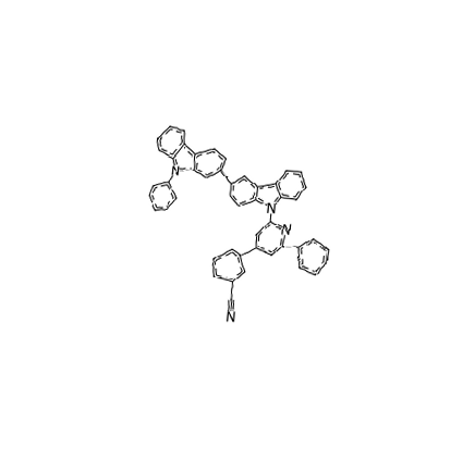 N#Cc1cccc(-c2cc(-c3ccccc3)nc(-n3c4ccccc4c4cc(-c5ccc6c7ccccc7n(-c7ccccc7)c6c5)ccc43)c2)c1